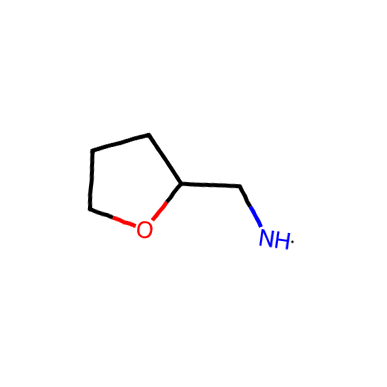 [NH]CC1CCCO1